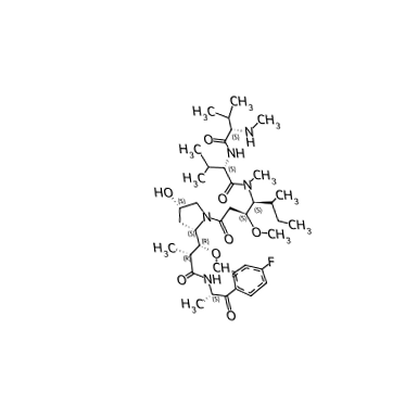 CCC(C)[C@@H]([C@H](CC(=O)N1C[C@@H](O)C[C@H]1[C@H](OC)[C@@H](C)C(=O)N[C@@H](C)C(=O)c1ccc(F)cc1)OC)N(C)C(=O)[C@@H](NC(=O)[C@@H](NC)C(C)C)C(C)C